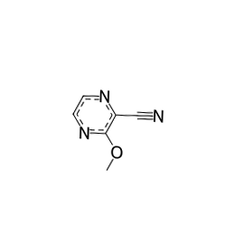 COc1nccnc1C#N